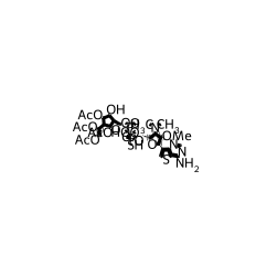 CO[C@@H]1[C@H](N(C)C)[C@@H](COP(=O)(S)OP(=O)(O)OC2OC3(OC(C)=O)C2C(O)C(OC(C)=O)C3[C@H](COC(C)=O)OC(C)=O)O[C@H]1c1csc2c(N)ncnc12